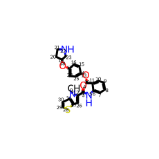 Cn1c(C(=O)Nc2ccccc2COc2ccc(OC3CCNC3)cc2)cc2sccc21